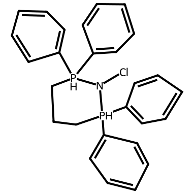 ClN1[PH](c2ccccc2)(c2ccccc2)CCC[PH]1(c1ccccc1)c1ccccc1